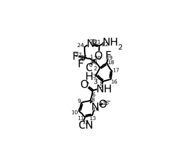 C[C@]1(c2cc(NC(=O)c3ccc(C#N)c[n+]3[O-])ccc2F)OC(N)=NCC1(F)F